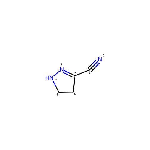 N#CC1=NNC[CH]1